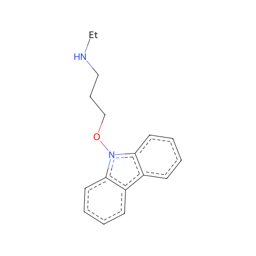 CCNCCCOn1c2ccccc2c2ccccc21